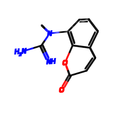 CN(C(=N)N)c1cccc2ccc(=O)oc12